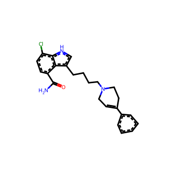 NC(=O)c1ccc(Cl)c2[nH]cc(CCCCN3CC=C(c4ccccc4)CC3)c12